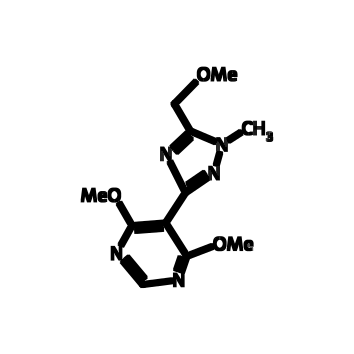 COCc1nc(-c2c(OC)ncnc2OC)nn1C